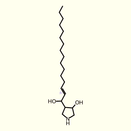 CCCCCCCCCCCCC/C=C/C(O)C1CNCC1O